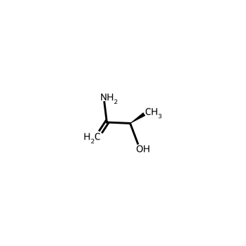 C=C(N)[C@@H](C)O